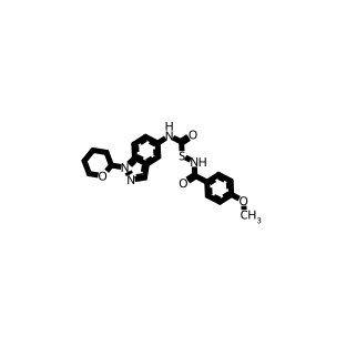 COc1ccc(C(=O)NSC(=O)Nc2ccc3c(cnn3C3CCCCO3)c2)cc1